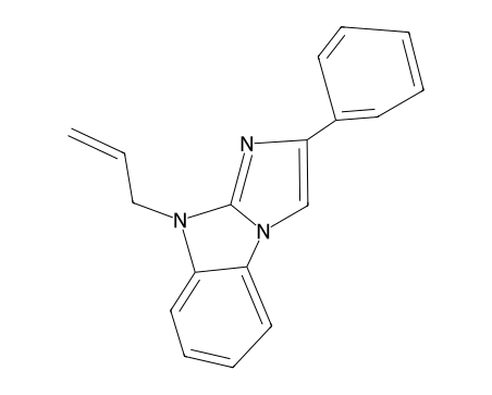 C=CCn1c2ccccc2n2cc(-c3ccccc3)nc12